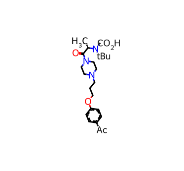 CC(=O)c1ccc(OCCCN2CCN(C(=O)[C@@H](C)N(C(=O)O)C(C)(C)C)CC2)cc1